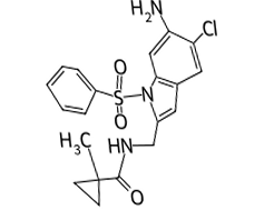 CC1(C(=O)NCc2cc3cc(Cl)c(N)cc3n2S(=O)(=O)c2ccccc2)CC1